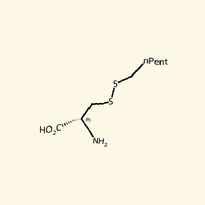 CCCCCCSSC[C@H](N)C(=O)O